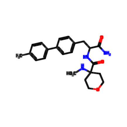 NC(=O)C(Cc1ccc(-c2ccc(C(F)(F)F)cc2)cc1)NC(=O)C1(NC(=O)O)CCOCC1